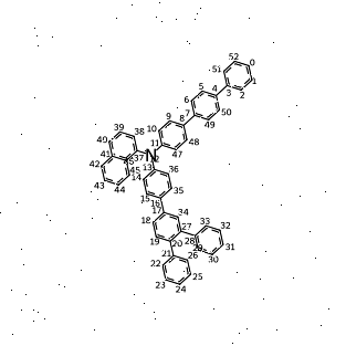 c1ccc(-c2ccc(-c3ccc(N(c4ccc(-c5ccc(-c6ccccc6)c(-c6ccccc6)c5)cc4)c4cccc5ccccc45)cc3)cc2)cc1